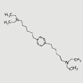 CCN(CC)CCCCCCc1ccc(CCCCCCN(CC)CC)cc1